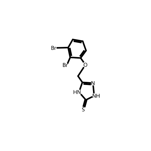 S=c1[nH]nc(COc2cccc(Br)c2Br)[nH]1